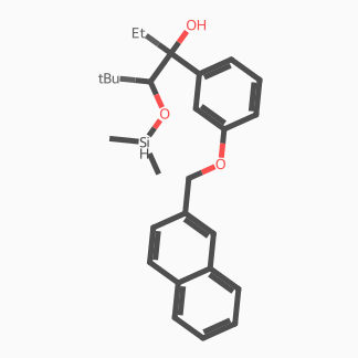 CCC(O)(c1cccc(OCc2ccc3ccccc3c2)c1)C(O[SiH](C)C)C(C)(C)C